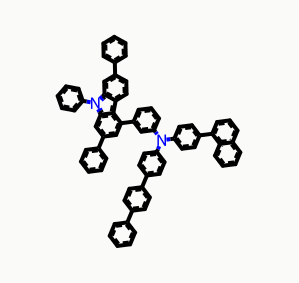 c1ccc(-c2ccc(-c3ccc(N(c4ccc(-c5cccc6ccccc56)cc4)c4cccc(-c5cc(-c6ccccc6)cc6c5c5ccc(-c7ccccc7)cc5n6-c5ccccc5)c4)cc3)cc2)cc1